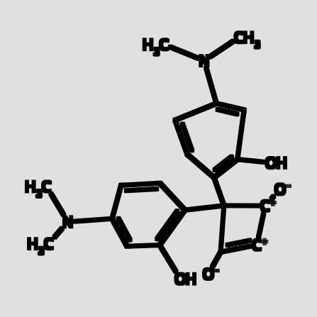 CN(C)c1ccc(C2(c3ccc(N(C)C)cc3O)C([O-])=[C+][C+]2[O-])c(O)c1